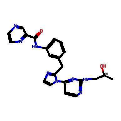 C[C@H](O)CNc1nccc(-n2ccnc2Cc2cccc(NC(=O)c3cnccn3)c2)n1